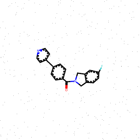 O=C(c1ccc(-c2ccncc2)cc1)N1Cc2ccc(F)cc2C1